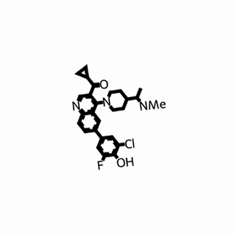 CNC(C)C1CCN(c2c(C(=O)C3CC3)cnc3ccc(-c4cc(F)c(O)c(Cl)c4)cc23)CC1